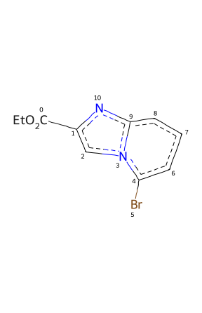 CCOC(=O)c1cn2c(Br)cccc2n1